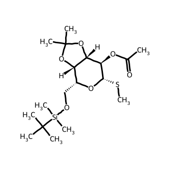 CS[C@@H]1O[C@H](CO[Si](C)(C)C(C)(C)C)[C@@H]2OC(C)(C)O[C@@H]2[C@H]1OC(C)=O